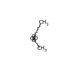 CCCCCCCCCCOS(=O)(=O)OCCCCCC